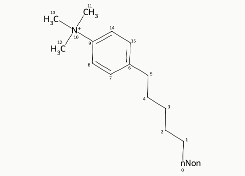 CCCCCCCCCCCCCCc1ccc([N+](C)(C)C)cc1